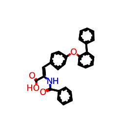 O=C(O)/C(=C/c1ccc(Oc2ccccc2-c2ccccc2)cc1)NC(=O)c1ccccc1